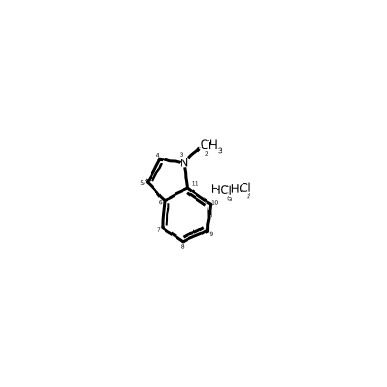 Cl.Cl.Cn1ccc2ccccc21